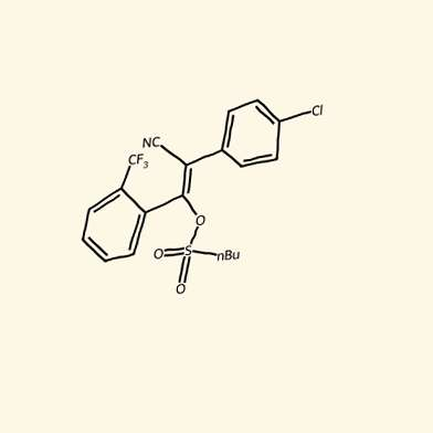 CCCCS(=O)(=O)OC(=C(C#N)c1ccc(Cl)cc1)c1ccccc1C(F)(F)F